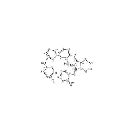 Oc1ccccc1C=[N+]1[Mn][N+](=Cc2ccccc2O)C2CCCCC21.[O-]c1ccc(Oc2ccccc2)cc1